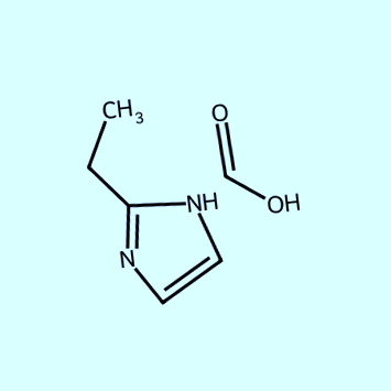 CCc1ncc[nH]1.O=CO